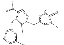 Cc1cc(Cc2ccc([N+](=O)[O-])c(Oc3cncc(Br)c3)c2F)n[nH]c1=O